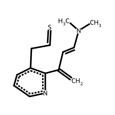 C=C(/C=C/N(C)C)c1ncccc1CC=S